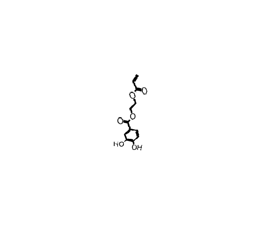 C=CC(=O)OCCOC(=O)c1ccc(O)c(O)c1